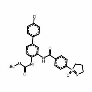 CC(C)(C)OC(=O)Nc1ccc(-c2ccc(Cl)cc2)cc1NC(=O)c1ccc(S2(=O)=NCCC2)cc1